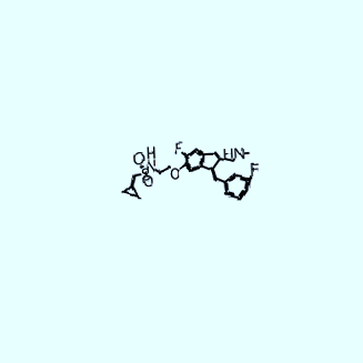 CNCC1Cc2cc(F)c(OCCNS(=O)(=O)CC3CC3)cc2C1Cc1cccc(F)c1